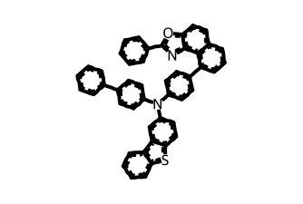 c1ccc(-c2ccc(N(c3ccc(-c4cccc5ccc6oc(-c7ccccc7)nc6c45)cc3)c3ccc4sc5ccccc5c4c3)cc2)cc1